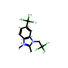 Cc1n(CC(F)(F)F)c2cc(C(F)(F)F)ccc2[n+]1C